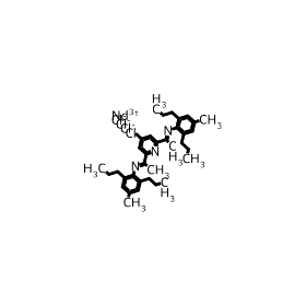 CCCc1cc(C)cc(CCC)c1N=C(C)c1cc(Cl)cc(C(C)=Nc2c(CCC)cc(C)cc2CCC)n1.[Cl-].[Cl-].[Cl-].[Nd+3]